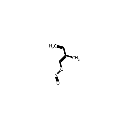 C=CC(C)=CON=O